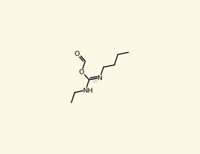 CCCC/N=C(/NCC)OC=O